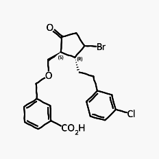 O=C(O)c1cccc(COC[C@H]2C(=O)CC(Br)[C@@H]2CCc2cccc(Cl)c2)c1